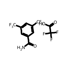 NC(=O)c1cc(C(F)(F)F)cc(C(F)(F)F)c1.O=C(O)C(F)(F)F